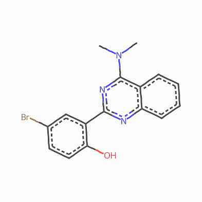 CN(C)c1nc(-c2cc(Br)ccc2O)nc2ccccc12